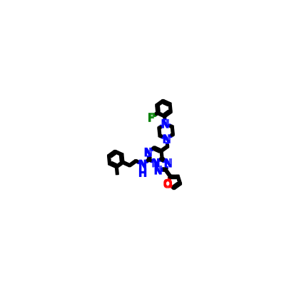 Cc1ccccc1CCNc1ncc(CN2CCN(c3ccccc3F)CC2)c2nc(-c3ccco3)nn12